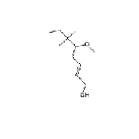 CCC(C)(C)C(CC=CCO)OC